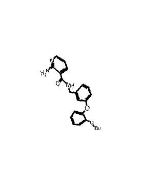 CCC(C)Oc1ccccc1Oc1cccc(CNC(=O)c2cccnc2N)c1